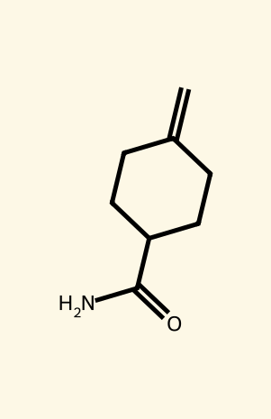 C=C1CCC(C(N)=O)CC1